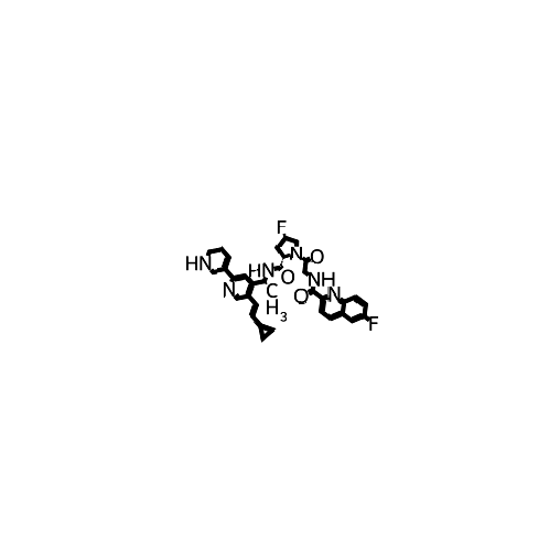 C[C@@H](NC(=O)[C@@H]1C[C@@H](F)CN1C(=O)CNC(=O)c1ccc2cc(F)ccc2n1)c1cc(C2=CCCNC2)ncc1/C=C/C1CC1